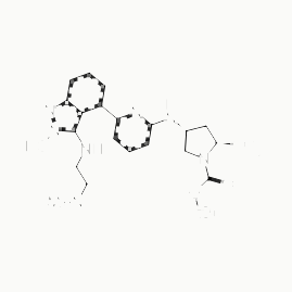 CNCCNc1c2c(-c3cccc(N[C@H]4C[C@@H](C(=O)O)N(C(=O)OC(C)(C)C)C4)n3)cccc2nn1C